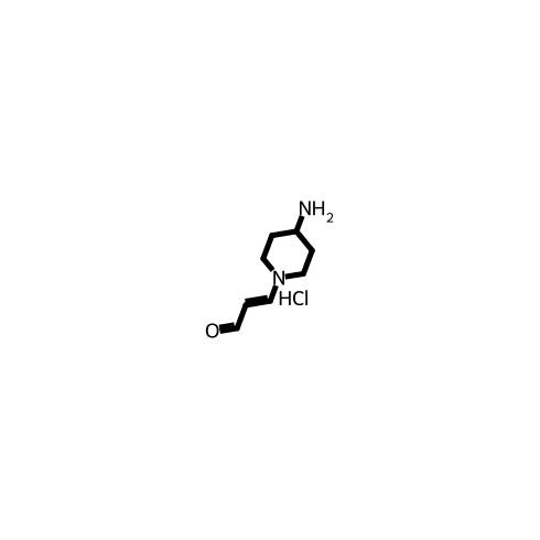 Cl.NC1CCN(C=CC=O)CC1